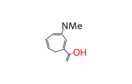 C=C(O)C1=CC(NC)=CC=CC1